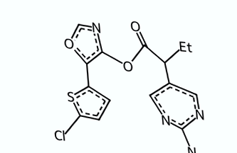 CCC(C(=O)Oc1ncoc1-c1ccc(Cl)s1)c1cnc(N(C)C)nc1